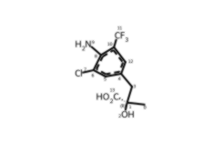 C[C@@](O)(Cc1cc(Cl)c(N)c(C(F)(F)F)c1)C(=O)O